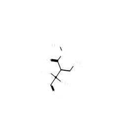 C=CC(C)(C)C(CC)C(=O)OC